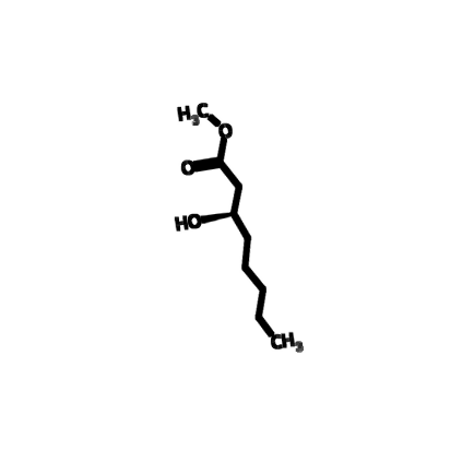 CCCCC[C@@H](O)CC(=O)OC